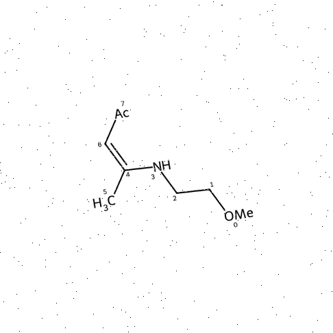 COCCN/C(C)=C\C(C)=O